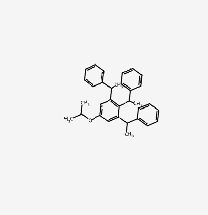 CC(C)Oc1cc(C(C)c2ccccc2)c(C(C)c2ccccc2)c(C(C)c2ccccc2)c1